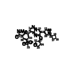 CNC(=O)c1cc(-c2cnn3cc(-c4cnn(C5CCC5)c4)c(OC4CCOC4)nc23)cc(S(C)(=O)=O)c1